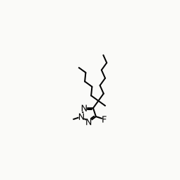 CCCCCCC(C)(CCCCC)c1nn(C)nc1F